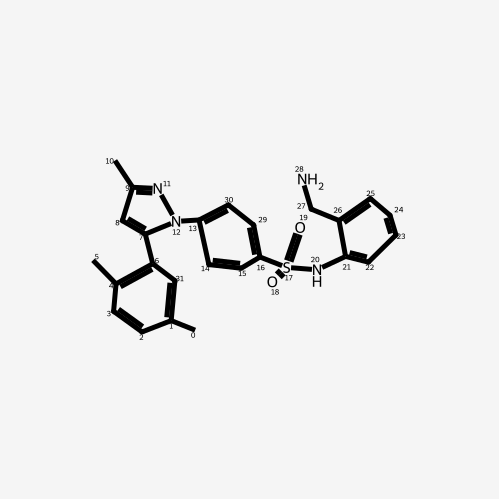 Cc1ccc(C)c(-c2cc(C)nn2-c2ccc(S(=O)(=O)Nc3ccccc3CN)cc2)c1